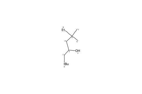 [CH2]C(C)(C)CC(O)CC(C)(C)CC